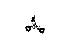 CC(C)(CI)OCP(OCc1ccccc1)OCc1ccccc1